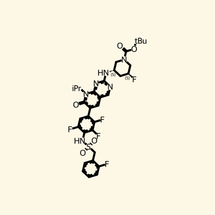 CC(C)n1c(=O)c(-c2cc(F)c(NS(=O)(=O)Cc3ccccc3F)c(F)c2F)cc2cnc(N[C@H]3C[C@H](F)CN(C(=O)OC(C)(C)C)C3)nc21